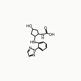 O=C(O)NC1CC(O)CC1Nc1ccccc1-n1nccn1